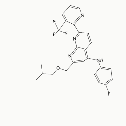 CC(C)COCc1cc(Nc2ccc(F)cc2)c2ccc(-c3ncccc3C(F)(F)F)nc2n1